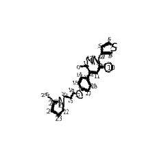 Cc1nn(-c2ccsc2)c(=O)cc1-c1ccc(OCCCN2CCC[C@H]2C)cc1